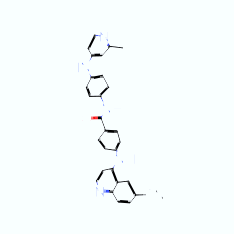 Cc1cc(Nc2ccc(NC(=O)c3ccc(Nc4ccnc5ccc(C#N)cc45)cc3)cc2)ccn1